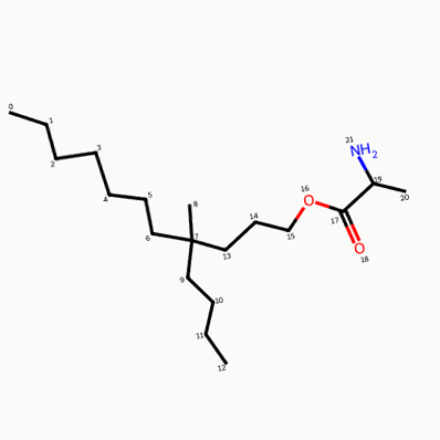 CCCCCCCC(C)(CCCC)CCCOC(=O)C(C)N